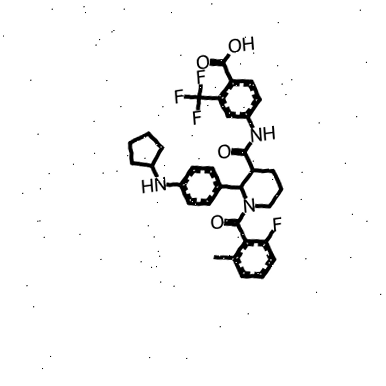 Cc1cccc(F)c1C(=O)N1CCCC(C(=O)Nc2ccc(C(=O)O)c(C(F)(F)F)c2)C1c1ccc(NC2CCCC2)cc1